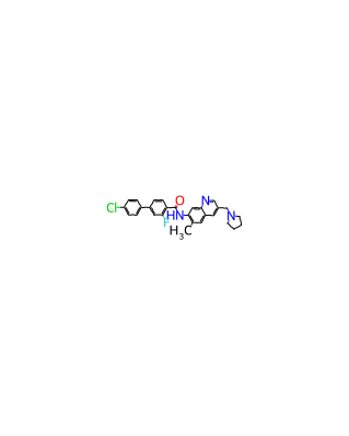 Cc1cc2cc(CN3CCCC3)cnc2cc1NC(=O)c1ccc(-c2ccc(Cl)cc2)cc1F